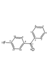 O=C(c1[c]cc[c]c1)c1ccc(F)cc1